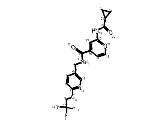 O=C(NCc1ccc(OCC(F)(F)F)nc1)c1ccnc(NC(=O)C2CC2)c1